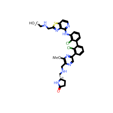 COc1nc(-c2cccc(-c3cccc(Nc4nccc5sc(CNCC(=O)O)nc45)c3Cl)c2Cl)cnc1CNC[C@@H]1CCC(=O)N1